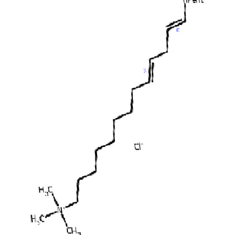 CCCCC/C=C/C/C=C/CCCCCCCC[N+](C)(C)C.[Cl-]